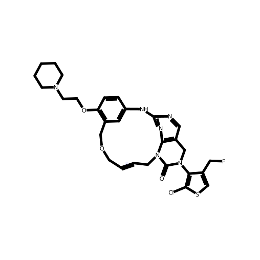 O=C1N2C/C=C/COCc3cc(ccc3OCCN3CCCCC3)Nc3ncc(c2n3)CN1c1c(CF)csc1Cl